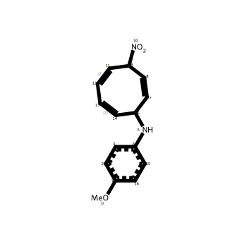 COc1ccc(NC2C=CC([N+](=O)[O-])/C=C\C=C/2)cc1